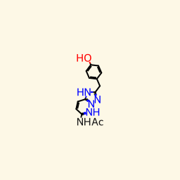 CC(=O)NC(=N)/C=C\c1nnc(Cc2ccc(O)cc2)[nH]1